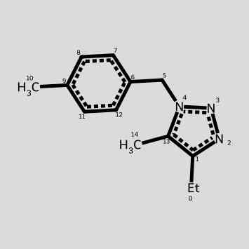 CCc1nnn(Cc2ccc(C)cc2)c1C